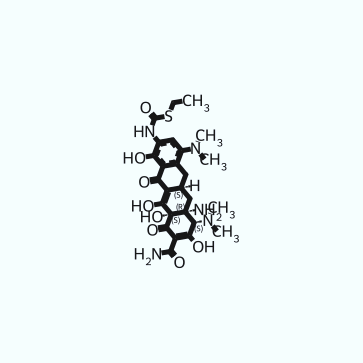 CCSC(=O)Nc1cc(N(C)C)c2c(c1O)C(=O)C1=C(O)[C@]3(O)C(=O)C(C(N)=O)=C(O)[C@@H](N(C)C)[C@]3(N)C[C@@H]1C2